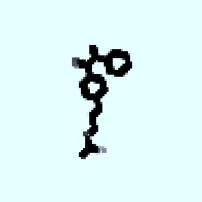 C=C(C(=O)c1ccc(C=CCNC(C)=O)cc1)c1ccccc1